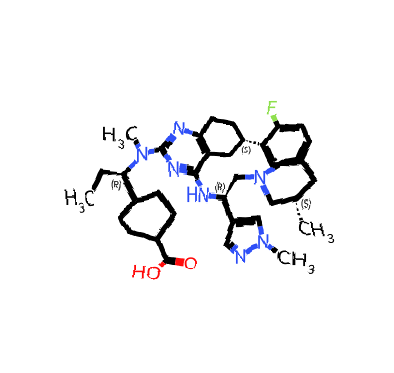 CC[C@H](C1CCC(C(=O)O)CC1)N(C)c1nc2c(c(N[C@@H](CN3CCC[C@H](C)C3)c3cnn(C)c3)n1)C[C@@H](c1ccccc1F)CC2